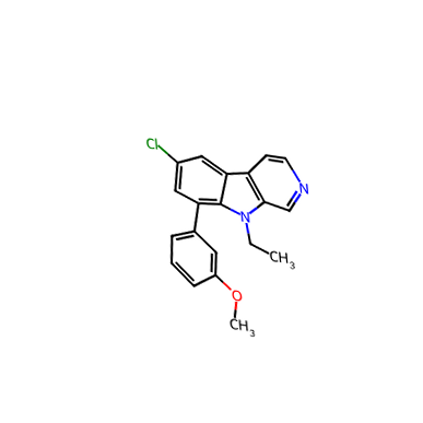 CCn1c2cnccc2c2cc(Cl)cc(-c3cccc(OC)c3)c21